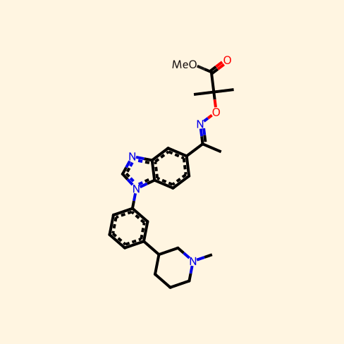 COC(=O)C(C)(C)ON=C(C)c1ccc2c(c1)ncn2-c1cccc(C2CCCN(C)C2)c1